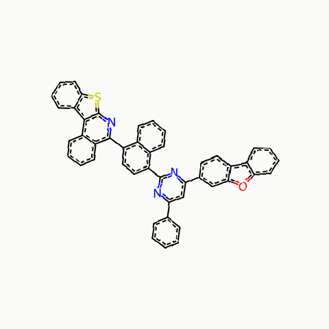 c1ccc(-c2cc(-c3ccc4c(c3)oc3ccccc34)nc(-c3ccc(-c4nc5sc6ccccc6c5c5ccccc45)c4ccccc34)n2)cc1